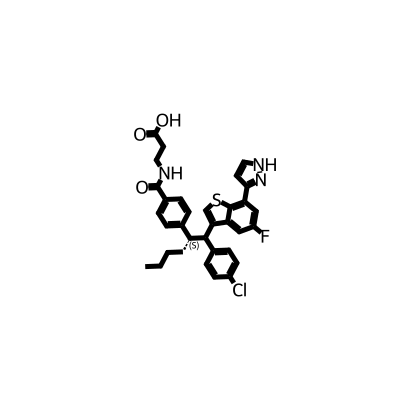 CCCC[C@H](c1ccc(C(=O)NCCC(=O)O)cc1)C(c1ccc(Cl)cc1)c1csc2c(-c3cc[nH]n3)cc(F)cc12